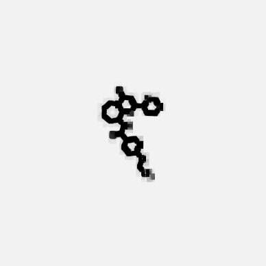 O=C(NC1CCCCn2c1nc(-c1ccncn1)cc2=O)c1ccc(OCC(F)(F)F)nc1